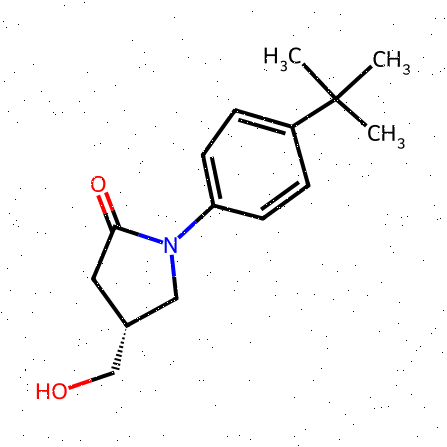 CC(C)(C)c1ccc(N2C[C@H](CO)CC2=O)cc1